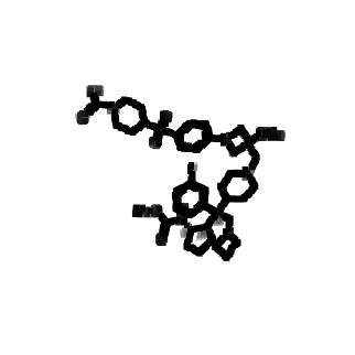 CCC(=O)N1CCC(S(=O)(=O)c2ccc(N3CC(CN4CCC([C@@](CN5CCC5)(c5cccc(F)c5)[C@H]5CCC[C@@H]5NC(=O)OC)CC4)(OC)C3)cc2)CC1